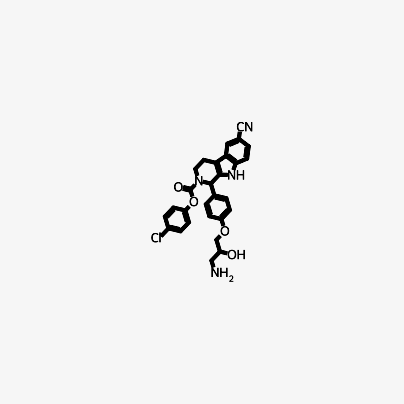 N#Cc1ccc2[nH]c3c(c2c1)CCN(C(=O)Oc1ccc(Cl)cc1)C3c1ccc(OCC(O)CN)cc1